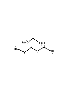 COCC(=O)O.OCCCCO